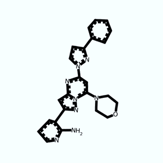 Nc1ncccc1-c1cc2nc(-n3ccc(-c4ccccc4)n3)cc(N3CCOCC3)n2n1